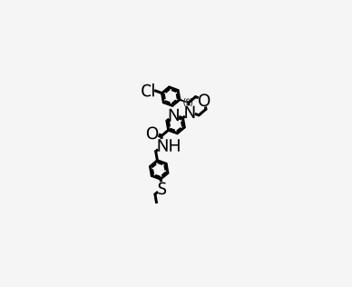 CCSc1ccc(CNC(=O)c2ccc(N3CCOC[C@@H]3c3ccc(Cl)cc3)nc2)cc1